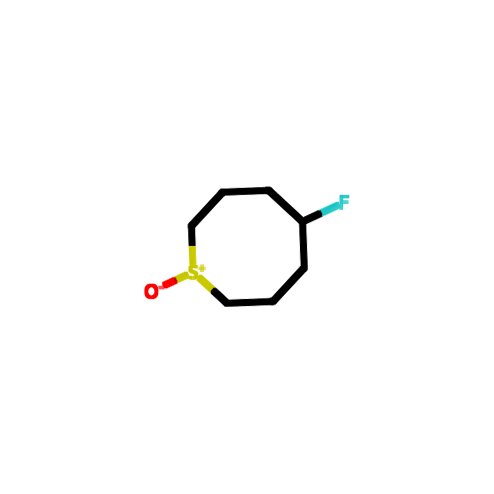 [O-][S+]1CCCC(F)CCC1